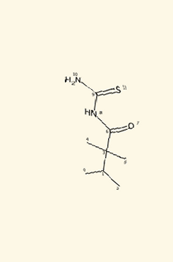 CC(C)C(C)(C)C(=O)NC(N)=S